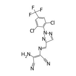 N#CC(N)=C(C#N)N=Cc1cnn(-c2c(Cl)cc(C(F)(F)F)cc2Cl)n1